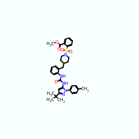 COC(=O)c1ccccc1S(=O)(=O)N1CCC(Cc2ccccc2NC(=O)Nc2cc(C(C)(C)C)nn2-c2ccc(C)cc2)CC1